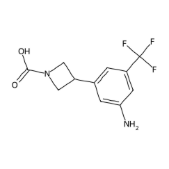 Nc1cc(C2CN(C(=O)O)C2)cc(C(F)(F)F)c1